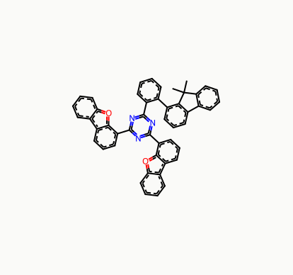 CC1(C)c2ccccc2-c2cccc(-c3ccccc3-c3nc(-c4cccc5c4oc4ccccc45)nc(-c4cccc5c4oc4ccccc45)n3)c21